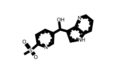 CS(=O)(=O)c1ccc(C(O)c2c[nH]c3cccnc23)cn1